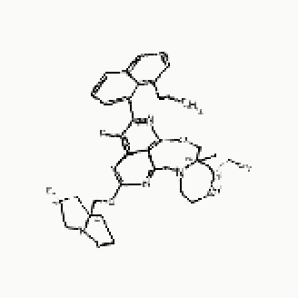 CCc1cccc2cccc(-c3nc4c5c(nc(OC[C@@]67CCCN6C[C@H](F)C7)nc5c3F)N3CCN[C@@H](CC)[C@H]3CO4)c12